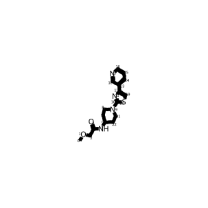 COCC(=O)NC1CCN(c2nc(-c3cccnc3)cs2)CC1